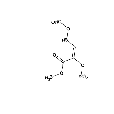 BOC(=O)/C(=C\BOC=O)ON